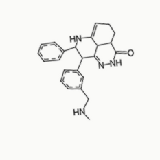 CNCc1cccc(C2C3=NNC(=O)C4CCC=C(NC2c2ccccc2)C34)c1